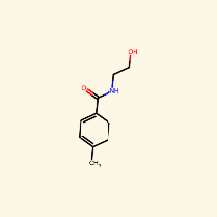 CC1=CC=C(C(=O)NCCO)CC1